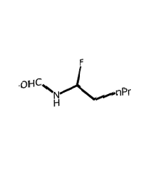 CCCCC(F)N[C]=O